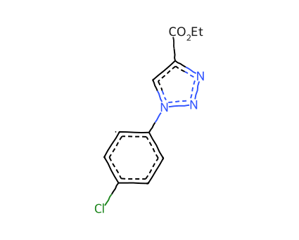 CCOC(=O)c1cn(-c2[c]cc(Cl)cc2)nn1